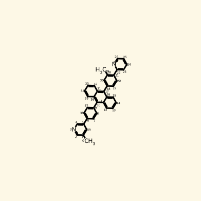 Cc1cncc(-c2ccc(-c3c4ccccc4c(-c4ccc(-c5ccccn5)c(C)c4)c4ccccc34)cc2)c1